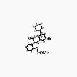 COCOc1ccccc1C(Sc1cc(Br)cc(N2CCOCC2)c1)C(=O)OC